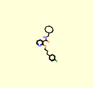 O=C(NCC1CCCCCCC1)c1cccnc1SCCCc1ccc(F)cc1